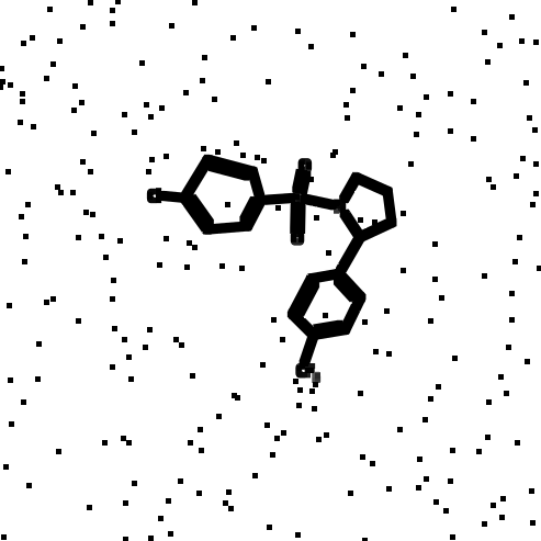 O=S(=O)(c1ccc(Cl)cc1)N1CCCC1c1ccc(C(F)(F)F)cc1